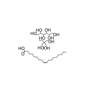 CCC(CO)(CO)CO.CCCCCCCC/C=C\CCCCCCCC(=O)O.OCC(O)C(O)C(O)C(O)CO